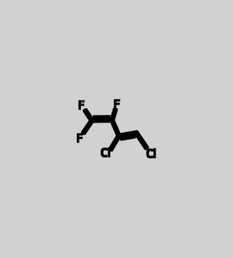 FC(F)=C(F)/C(Cl)=C/Cl